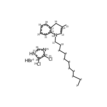 Br.CCCCCCCCCCCN1C=C(C)Cc2ccccc21.Clc1nc[nH]c1Cl